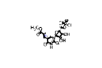 COC(=O)/C=C/c1cn([C@@H]2O[C@H](COP(=O)(Cl)Cl)C(O)[C@@H]2O)c(=O)[nH]c1=O